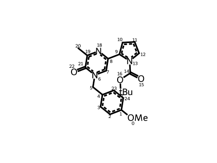 COc1ccc(Cn2cc(-c3cccn3C(=O)OC(C)(C)C)nc(C)c2=O)cc1